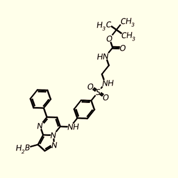 Bc1cnn2c(Nc3ccc(S(=O)(=O)NCCNC(=O)OC(C)(C)C)cc3)cc(-c3ccccc3)nc12